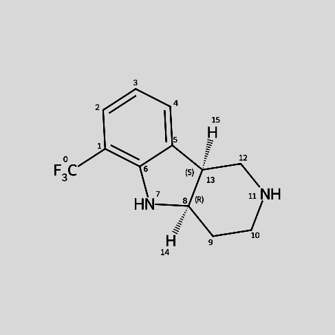 FC(F)(F)c1cccc2c1N[C@@H]1CCNC[C@H]21